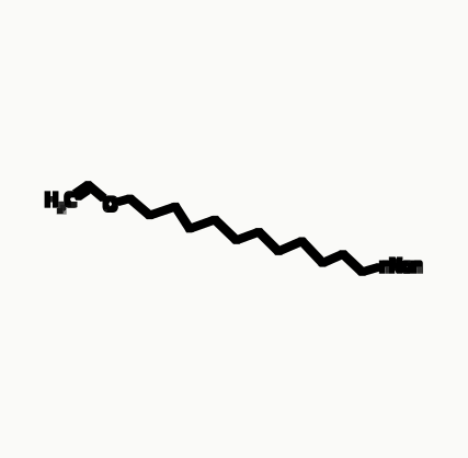 C=COCCCCCCCCCCCCCCCCCCCCC